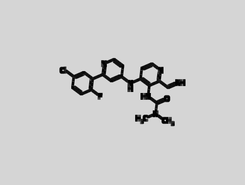 CN(C)C(=O)Nc1c(Nc2ccnc(-c3cc(Cl)ccc3F)c2)ccnc1C=N